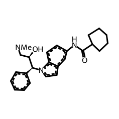 CNC[C@@H](O)[C@H](c1ccccc1)n1ccc2cc(NC(=O)C3CCCCC3)ccc21